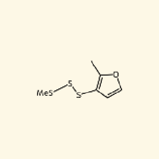 CSSSc1ccoc1C